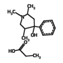 CC1CC(O)(c2ccccc2)C(C)CN1C.CCC(=O)O